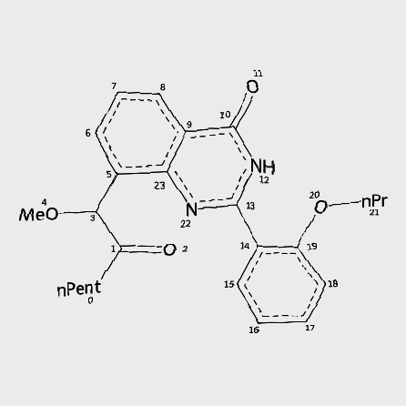 CCCCCC(=O)C(OC)c1cccc2c(=O)[nH]c(-c3ccccc3OCCC)nc12